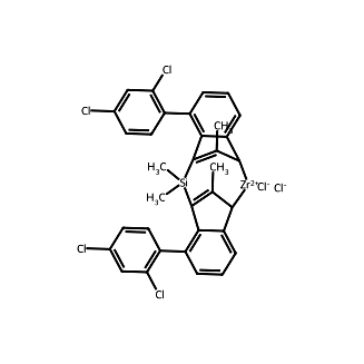 CC1=C2c3c(-c4ccc(Cl)cc4Cl)cccc3[CH]1[Zr+2][CH]1C(C)=C(c3c(-c4ccc(Cl)cc4Cl)cccc31)[Si]2(C)C.[Cl-].[Cl-]